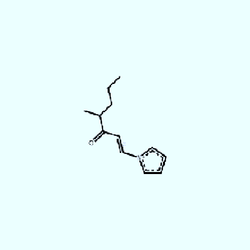 CCCC(C)C(=O)/C=C/n1cccc1